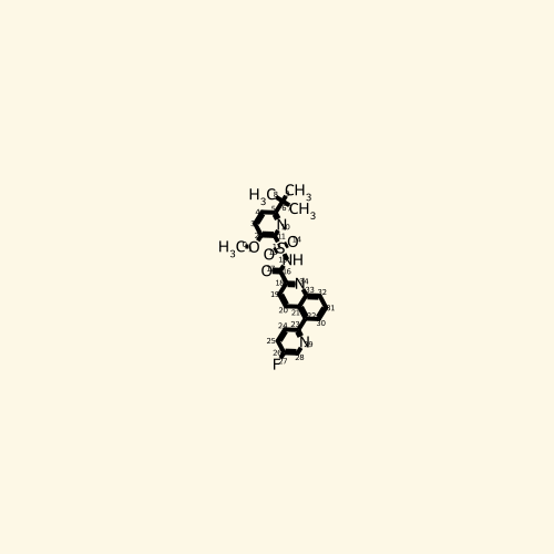 COc1ccc(C(C)(C)C)nc1S(=O)(=O)NC(=O)c1ccc2c(-c3ccc(F)cn3)cccc2n1